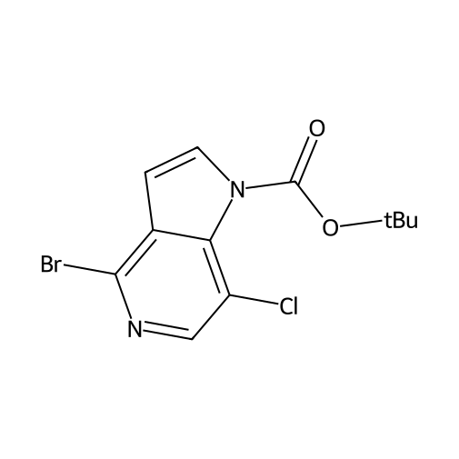 CC(C)(C)OC(=O)n1ccc2c(Br)ncc(Cl)c21